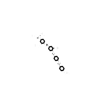 CCN(CC)c1ccc(N=Nc2ccc(N=Nc3ccc(N=Nc4ccc(C)cc4)cc3)c(C)c2)c(C)c1